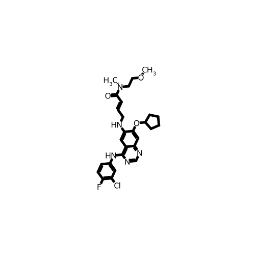 COCCN(C)C(=O)C=CCNc1cc2c(Nc3ccc(F)c(Cl)c3)ncnc2cc1OC1CCCC1